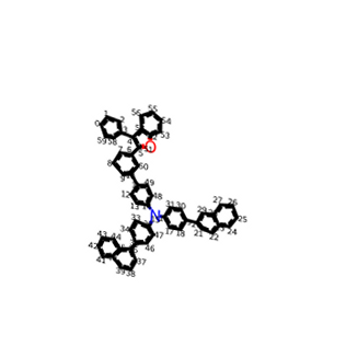 c1ccc(-c2c(-c3cccc(-c4ccc(N(c5ccc(-c6ccc7ccccc7c6)cc5)c5ccc(-c6cccc7ccccc67)cc5)cc4)c3)oc3ccccc23)cc1